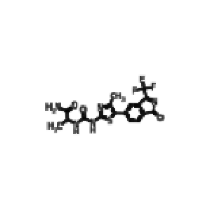 Cc1nc(NC(=O)NC(C)C(N)=O)sc1-c1ccc2c(c1)C(C(F)(F)F)=NC2=O